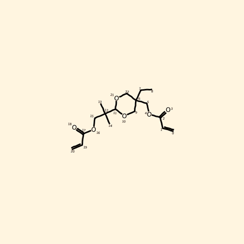 C=CC(=O)OCC1(CC)COC(C(C)(C)COC(=O)C=C)OC1